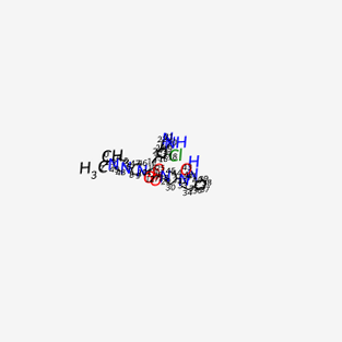 CC(C)N1CCN(C2CCN(C(=O)[C@@H](Cc3cc(Cl)c4[nH]ncc4c3)OC(=O)N3CCC(N4CCc5ccccc5NC4=O)CC3)CC2)CC1